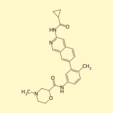 Cc1ccc(NC(=O)C2CN(C)CCO2)cc1-c1ccc2cc(NC(=O)C3CC3)ncc2c1